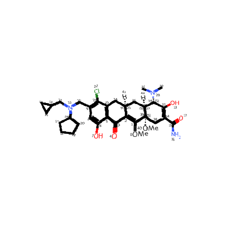 COC1=C2C(=O)c3c(O)cc(CN(CC4CC4)C4CCCC4)c(Cl)c3C[C@H]2C[C@H]2[C@H](N(C)C)C(O)=C(C(N)=O)C[C@@]12OC